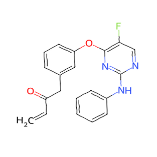 C=CC(=O)Cc1cccc(Oc2nc(Nc3ccccc3)ncc2F)c1